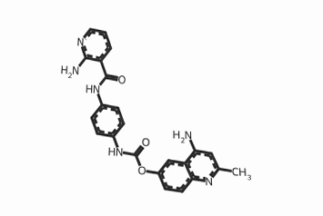 Cc1cc(N)c2cc(OC(=O)Nc3ccc(NC(=O)c4cccnc4N)cc3)ccc2n1